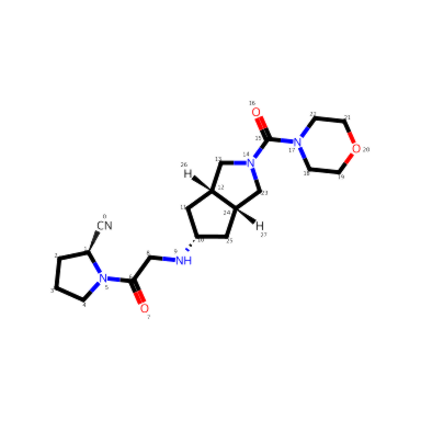 N#C[C@@H]1CCCN1C(=O)CN[C@@H]1C[C@@H]2CN(C(=O)N3CCOCC3)C[C@@H]2C1